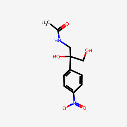 CC(=O)NCC(O)(CO)c1ccc([N+](=O)[O-])cc1